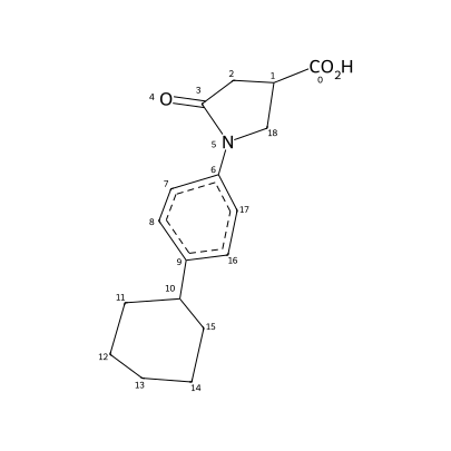 O=C(O)C1CC(=O)N(c2ccc(C3CCCCC3)cc2)C1